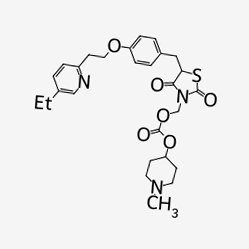 CCc1ccc(CCOc2ccc(CC3SC(=O)N(COC(=O)OC4CCN(C)CC4)C3=O)cc2)nc1